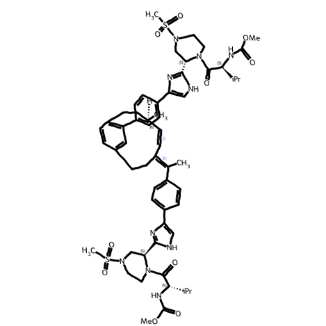 COC(=O)N[C@H](C(=O)N1CCN(S(C)(=O)=O)C[C@H]1c1nc(-c2ccc(/C(C)=C3/C=C\[C@H](C)CCc4ccc(cc4-c4ccc(-c5c[nH]c([C@@H]6CN(S(C)(=O)=O)CCN6C(=O)[C@@H](NC(=O)OC)C(C)C)n5)cc4)CC3)cc2)c[nH]1)C(C)C